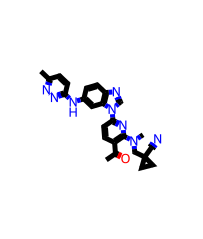 CC(=O)c1ccc(-n2cnc3ccc(Nc4ccc(C)nn4)cc32)nc1N(C)CC1(C#N)CC1